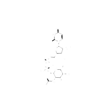 CC(=O)N[C@H]1[C@@H](OP(=O)(O)OP(=O)(O)OC[C@H]2O[C@@H](n3ccc(=O)[nH]c3=O)[C@H](O)[C@@H]2O)O[C@@H](C)[C@@H](O)[C@H]1O